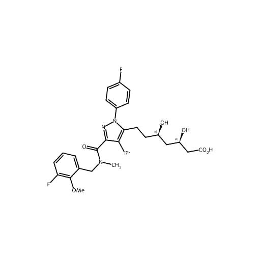 COc1c(F)cccc1CN(C)C(=O)c1nn(-c2ccc(F)cc2)c(CC[C@@H](O)C[C@@H](O)CC(=O)O)c1C(C)C